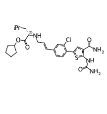 CC(C)C[C@H](NCC=Cc1ccc(-c2cc(C(N)=O)c(NC(N)=O)s2)c(Cl)c1)C(=O)OC1CCCC1